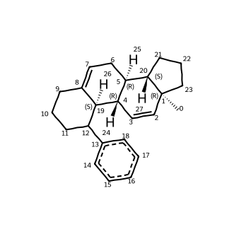 C[C@]12C=C[C@H]3[C@@H](CC=C4CCCC(c5ccccc5)[C@@H]43)[C@@H]1CCC2